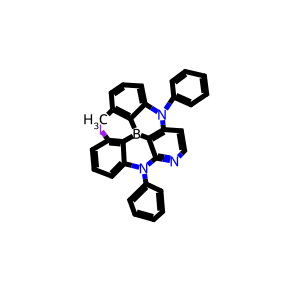 Cc1cccc2c1B1c3c(I)cccc3N(c3ccccc3)c3nccc(c31)N2c1ccccc1